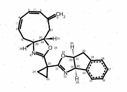 C=C1/C=C\C=C/C[C@H]2N=C(C3(C4=N[C@@H]5c6ccccc6C[C@@H]5O4)CC3)O[C@H]2C1